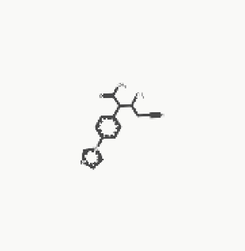 CC(=O)C(c1ccc(-n2ccnc2)cc1)C(C)CC#N